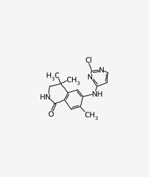 Cc1cc2c(cc1Nc1ccnc(Cl)n1)C(C)(C)CNC2=O